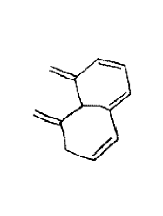 C=C1C=CC=C2C=CCC(=C)C12